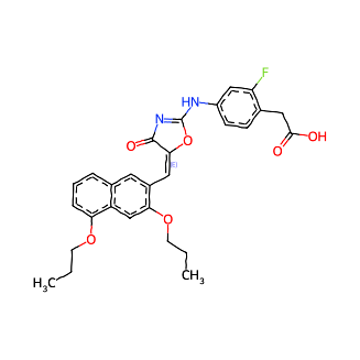 CCCOc1cc2c(OCCC)cccc2cc1/C=C1/OC(Nc2ccc(CC(=O)O)c(F)c2)=NC1=O